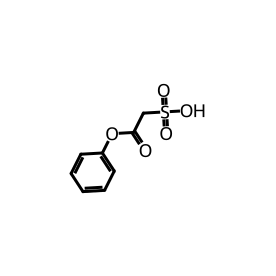 O=C(CS(=O)(=O)O)Oc1ccccc1